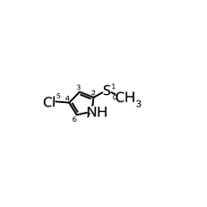 CSc1cc(Cl)c[nH]1